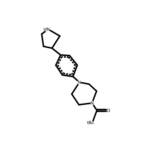 CC(C)(C)C(=O)N1CCN(c2ccc(C3CCNC3)cc2)CC1